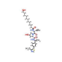 Cc1ncsc1-c1ccc([C@H](C)NC(=O)[C@@H]2C[C@@H](O)CN2C(=O)[C@@H](NC(=O)CCCCCCCCCCCO)C(C)(C)C)cc1